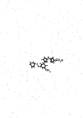 Cc1cc(CCc2ccccc2)cc(-c2csc(Cn3cc(C(=O)O)cn3)n2)c1